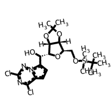 CC1(C)O[C@@H]2[C@H](O1)[C@@H](CO[Si](C)(C)C(C)(C)C)O[C@@H]2C(O)c1ccc2c(Cl)nc(Cl)nn12